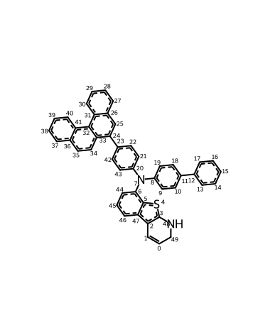 C1=Cc2c(sc3c(N(c4ccc(-c5ccccc5)cc4)c4ccc(-c5cc6ccccc6c6c5ccc5ccccc56)cc4)cccc23)NC1